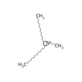 CCCCCCCCCCCCc1cc(CCCCCCCCCCCC)c[n+](CCCC)c1